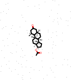 CC(=O)O[C@H]1CC[C@H]2[C@@H]3CC[C@H]4CC(=O)C[C@H](C)[C@]4(C)[C@H]3CC[C@]12C